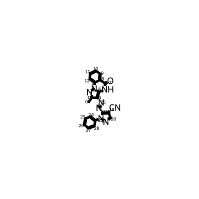 Cc1nn2c([nH]c(=O)c3ccccc32)c1/N=N/c1c(C#N)cnn1-c1ccccc1